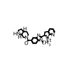 CCN1c2ncccc2CC1c1nc2cc(C(=O)N3CC[C@H]4CCN[C@H]4C3)ccc2n1C